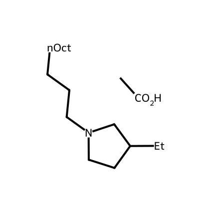 CC(=O)O.CCCCCCCCCCCN1CCC(CC)C1